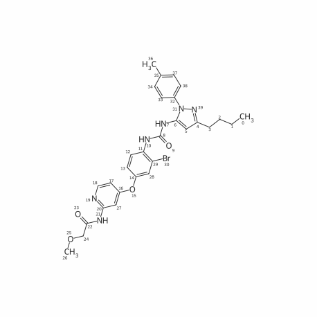 CCCCc1cc(NC(=O)Nc2ccc(Oc3ccnc(NC(=O)COC)c3)cc2Br)n(-c2ccc(C)cc2)n1